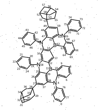 c1ccc(N2c3ccccc3B3c4cc5c(cc4N(c4ccccc4)c4cc(C67CC8CC(C6)C(C8)C7)cc2c43)N(c2ccccc2)c2cc(C34CC6CC(C3)C(C6)C4)cc3c2B5c2ccccc2N3c2ccccc2)cc1